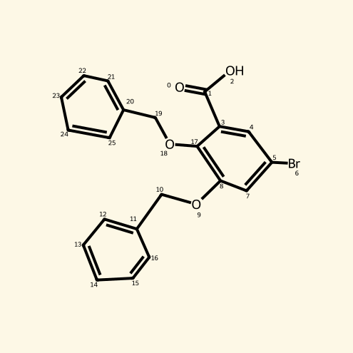 O=C(O)c1cc(Br)cc(OCc2ccccc2)c1OCc1ccccc1